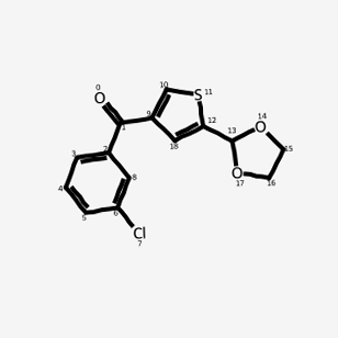 O=C(c1cccc(Cl)c1)c1csc(C2OCCO2)c1